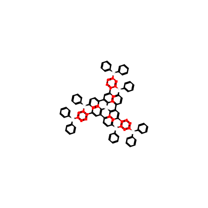 c1ccc(N(c2ccccc2)c2ccc(-c3ccc(N(c4ccc(-c5ccc(N(c6ccccc6)c6ccccc6)cc5)cc4-c4ccc(N(c5ccccc5)c5ccccc5)cc4)c4ccc(-c5ccc(N(c6ccccc6)c6ccccc6)cc5)cc4-c4ccc(N(c5ccccc5)c5ccccc5)cc4)c(-c4ccc(N(c5ccccc5)c5ccccc5)cc4)c3)cc2)cc1